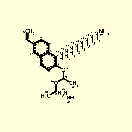 C=Cc1ccc2cc(OC(C)OCC)ccc2c1.N.N.N.N.N.N.N.N.N.N.N